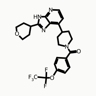 O=C(c1ccc(OC(F)(F)C(F)(F)F)cc1)N1CCC(c2ccnc3[nH]c(C4CCOCC4)nc23)CC1